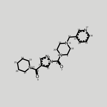 O=C(c1cnn(C(=O)N2CCN(Cc3cccnc3)CC2)c1)N1CCCCC1